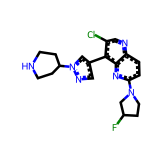 FC1CCN(c2ccc3ncc(Cl)c(-c4cnn(C5CCNCC5)c4)c3n2)C1